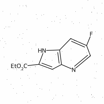 CCOC(=O)c1cc2ncc(F)cc2[nH]1